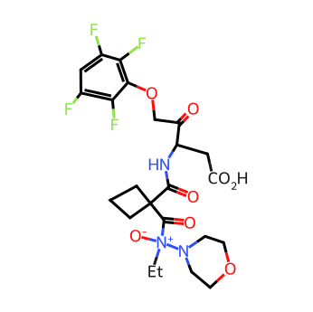 CC[N+]([O-])(C(=O)C1(C(=O)NC(CC(=O)O)C(=O)COc2c(F)c(F)cc(F)c2F)CCC1)N1CCOCC1